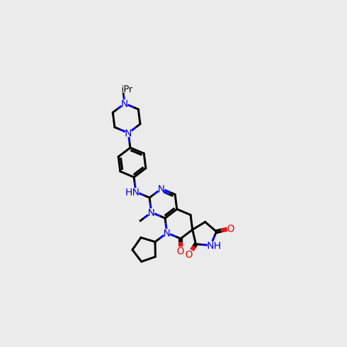 CC(C)N1CCN(c2ccc(NC3N=CC4=C(N3C)N(C3CCCC3)C(=O)C3(CC(=O)NC3=O)C4)cc2)CC1